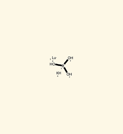 OB(O)O.[KH].[Lu]